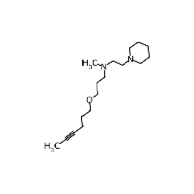 CC#CCCCOCCCN(C)CCN1CCCCC1